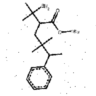 BC(C)(C)C(CC(C)(C)C(C)c1ccccc1)C(=O)OCCCC